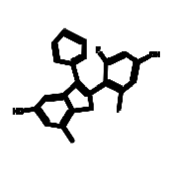 Cc1cc(O)cc2c1CC(c1c(F)cc(O)cc1F)=C2c1ccccc1